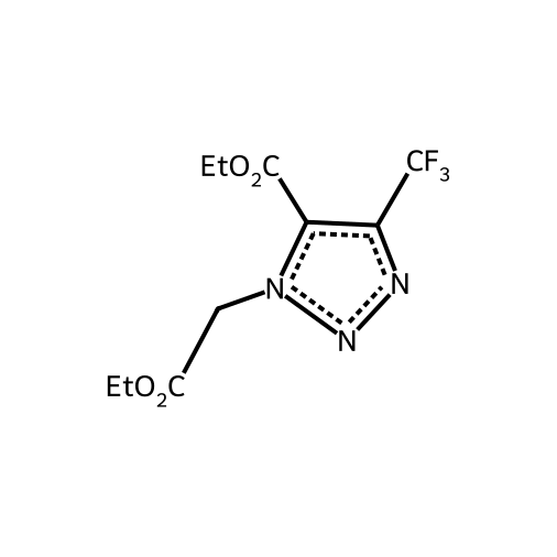 CCOC(=O)Cn1nnc(C(F)(F)F)c1C(=O)OCC